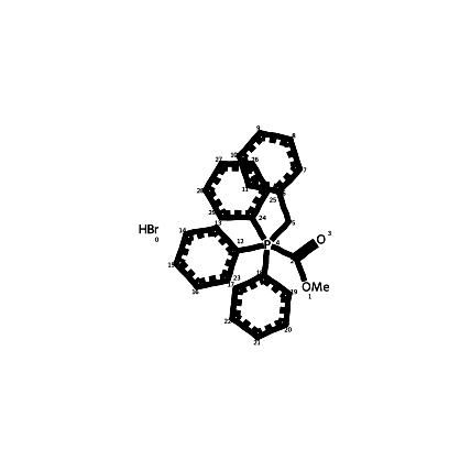 Br.COC(=O)P(Cc1ccccc1)(c1ccccc1)(c1ccccc1)c1ccccc1